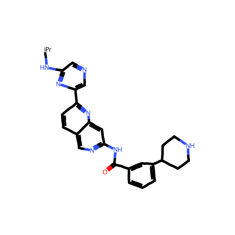 CC(C)Nc1cncc(-c2ccc3cnc(NC(=O)c4cccc(C5CCNCC5)c4)cc3n2)n1